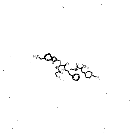 C=C(CN1CCN(C)CC1)C(=O)NC[C@H](Cc1ccccc1)NC(=O)[C@H](Cc1nc2ccc(CC)cc2s1)NC(=O)CC